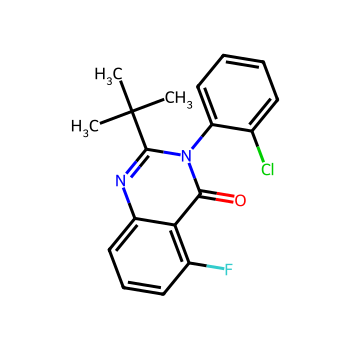 CC(C)(C)c1nc2cccc(F)c2c(=O)n1-c1ccccc1Cl